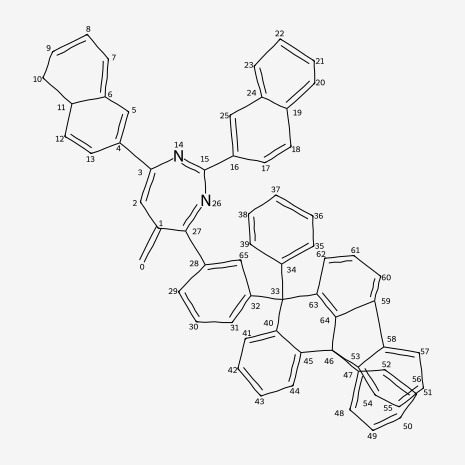 C=C1C=C(C2=CC3=CC=CCC3C=C2)N=C(c2ccc3ccccc3c2)N=C1c1cccc(C2(c3ccccc3)c3ccccc3C3(c4ccccc4)c4ccccc4-c4cccc2c43)c1